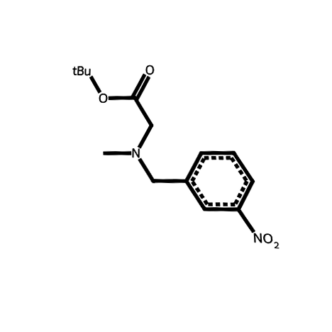 CN(CC(=O)OC(C)(C)C)Cc1cccc([N+](=O)[O-])c1